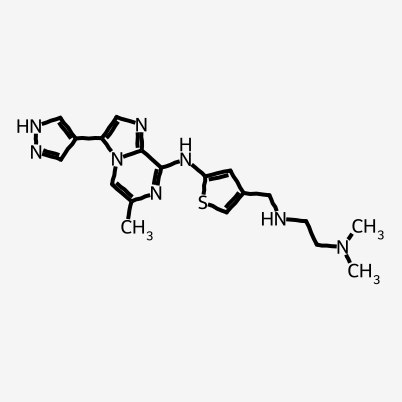 Cc1cn2c(-c3cn[nH]c3)cnc2c(Nc2cc(CNCCN(C)C)cs2)n1